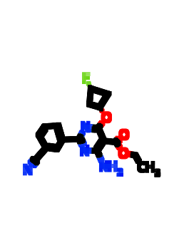 CCOC(=O)c1c(N)nc(-c2cccc(C#N)c2)nc1O[C@H]1C[C@@H](F)C1